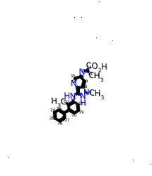 Cc1c(Nc2[nH]n(C)c3cc(=NC(C)C(=O)O)cnc2-3)cccc1-c1ccccc1